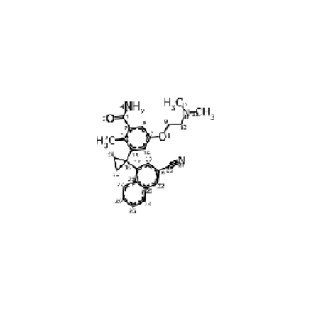 Cc1c(C(N)=O)cc(OCCN(C)C)cc1C1(c2cc(C#N)cc3ccccc23)CC1